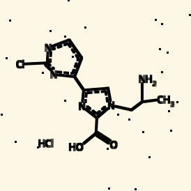 CC(N)Cn1cc(-c2ccnc(Cl)n2)nc1C(=O)O.Cl